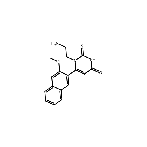 COc1cc2ccccc2cc1-c1cc(=O)[nH]c(=S)n1CCN